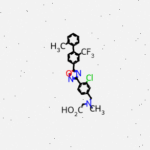 Cc1ccccc1-c1ccc(-c2nc(-c3ccc(CN(C)CC(=O)O)cc3Cl)no2)cc1C(F)(F)F